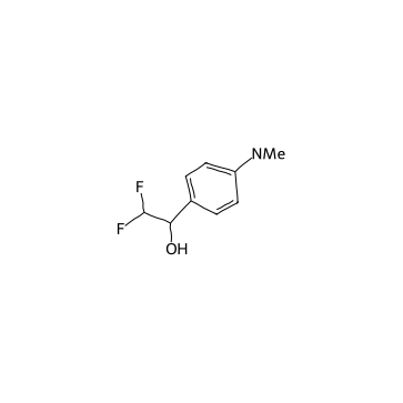 CNc1ccc(C(O)C(F)F)cc1